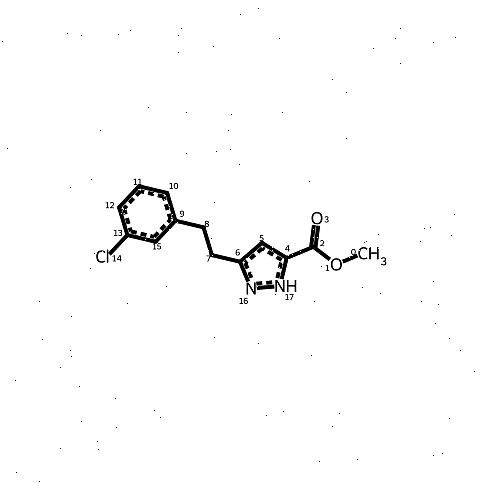 COC(=O)c1cc(CCc2cccc(Cl)c2)n[nH]1